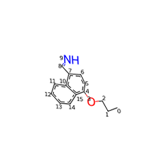 CCCOc1ccc(C=N)c2ccccc12